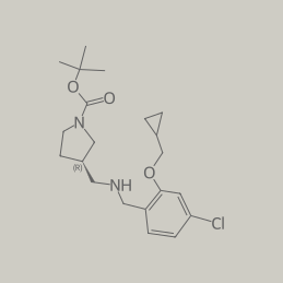 CC(C)(C)OC(=O)N1CC[C@H](CNCc2ccc(Cl)cc2OCC2CC2)C1